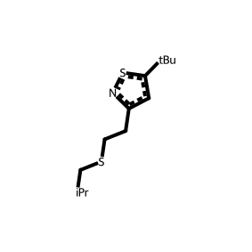 CC(C)CSCCc1cc(C(C)(C)C)sn1